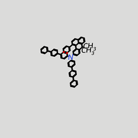 CC1(C)c2ccc(N(c3ccc(-c4ccc(-c5ccccc5)cc4)cc3)c3ccc(-c4ccc(-c5ccccc5)cc4)cc3)cc2-c2c(-c3ccccc3)ccc3cccc1c23